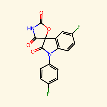 O=C1NC(=O)C2(O1)C(=O)N(c1ccc(F)cc1)c1ccc(F)cc12